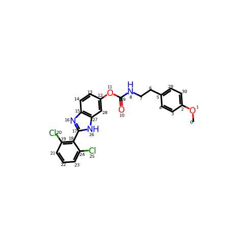 COc1ccc(CCNC(=O)Oc2ccc3nc(-c4c(Cl)cccc4Cl)[nH]c3c2)cc1